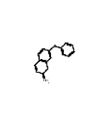 C=C1C=Cc2ccc([I+]c3ccccc3)cc2C1